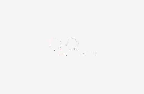 O=C(O)Cc1cccc2c1COC21CCOCC1